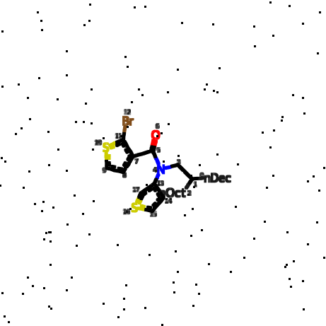 CCCCCCCCCCC(CCCCCCCC)CN(C(=O)c1ccsc1Br)c1ccsc1